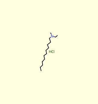 CCCCCCCCCCCCN(C)CC.Cl